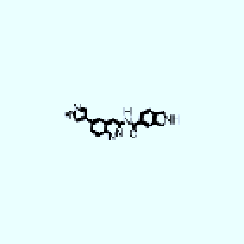 Cn1cc(-c2ccc3nnc(NC(=O)c4ccc5c(c4)CNC5)cc3c2)cn1